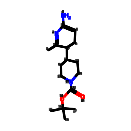 CC1=NC(N)=CCC1C1CCN(C(=O)OC(C)(C)C)CC1